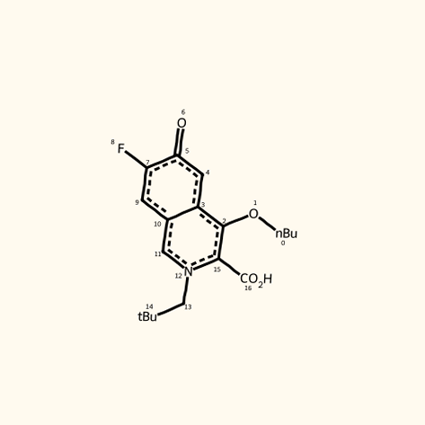 CCCCOc1c2cc(=O)c(F)cc-2cn(CC(C)(C)C)c1C(=O)O